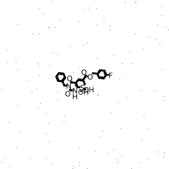 O=C(OCc1ccc(F)cc1)C1=Cc2c([nH]c(=O)n(Cc3ccccc3)c2=O)S(O)(O)C1